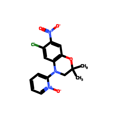 CC1(C)CN(c2cccc[n+]2[O-])c2cc(Cl)c([N+](=O)[O-])cc2O1